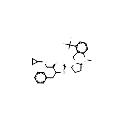 COc1cccc(C(F)(F)F)c1CN1C(=O)CC[C@@H]1C(=O)NC(Cc1ccccc1)C(=O)C(=O)NC1CC1